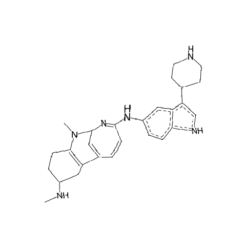 CNC1CCC2=C(C1)C1=CC(N=C(Nc3ccc4[nH]cc(C5CCNCC5)c4c3)C=C1)N2C